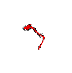 COC(=O)CCCCCCCCCCCCCCCCC(=O)N[C@@H](CCC(=O)NCCOCCOCC(=O)NCCOCCOCC(=O)NCc1ncc(-c2ccc3c(c2)c(C(C)=O)nn3CC(=O)N2[C@H](C(=O)Nc3nc(Br)ccc3C)C[C@@]3(CN(C)C)C[C@@H]23)cn1)C(=O)OC